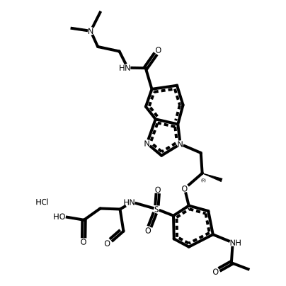 CC(=O)Nc1ccc(S(=O)(=O)NC(C=O)CC(=O)O)c(O[C@H](C)Cn2cnc3cc(C(=O)NCCN(C)C)ccc32)c1.Cl